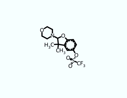 CC1(C)c2cc(OS(=O)(=O)C(F)(F)F)ccc2OC1N1CCOCC1